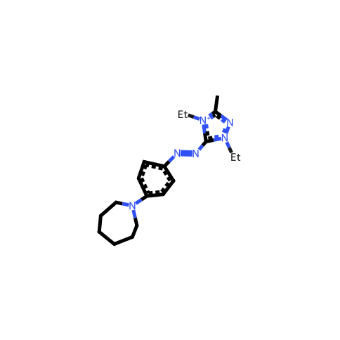 CCn1nc(C)[n+](CC)c1N=Nc1ccc(N2CCCCCC2)cc1